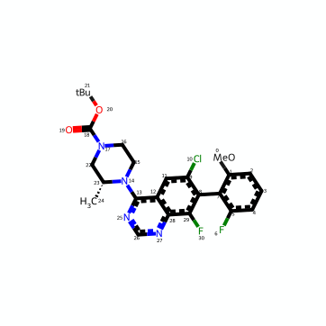 COc1cccc(F)c1-c1c(Cl)cc2c(N3CCN(C(=O)OC(C)(C)C)C[C@H]3C)ncnc2c1F